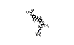 CCC(C)Oc1ccc(C(C)(C)c2ccc(OC(C)COC(=O)/C=C/C(=O)OC)cc2)cc1